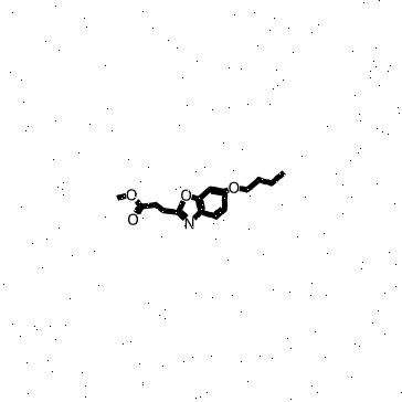 CCCCOc1ccc2nc(CCC(=O)OC)oc2c1